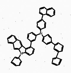 c1ccc(-c2cccc(-c3ccc(N(c4ccc(-c5cccc6ccccc56)cc4)c4cccc(-c5cccc6c5c5cc7ccccc7cc5n6-c5ccccc5)c4)cc3)c2)cc1